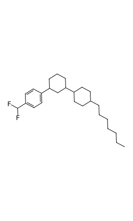 CCCCCCCC1CCC(C2CCCC(c3ccc(C(F)F)cc3)C2)CC1